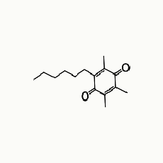 CCCCCCC1=C(C)C(=O)C(C)=C(C)C1=O